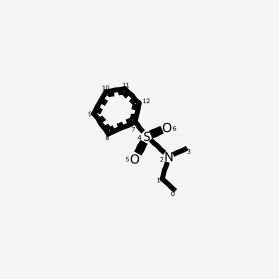 CCN(C)S(=O)(=O)c1c[c]ccc1